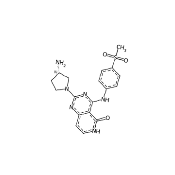 CS(=O)(=O)c1ccc(Nc2nc(N3CC[C@H](N)C3)nc3cc[nH]c(=O)c23)cc1